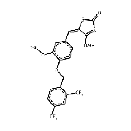 CCCCOc1cc(C=C2SC(=O)N=C2NC)ccc1OCc1ccc(C(F)(F)F)cc1C(F)(F)F